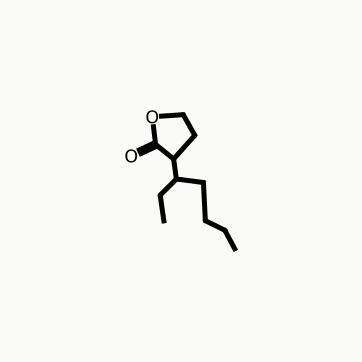 CCCCC(CC)C1CCOC1=O